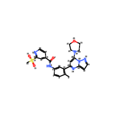 Cc1ccc(NC(=O)c2ccnc(S(C)(=O)=O)c2)cc1-c1cc(N2CCOCC2)n2nccc2n1